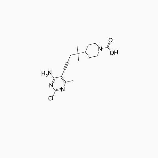 Cc1nc(Cl)nc(N)c1C#CCC(C)(C)C1CCN(C(=O)O)CC1